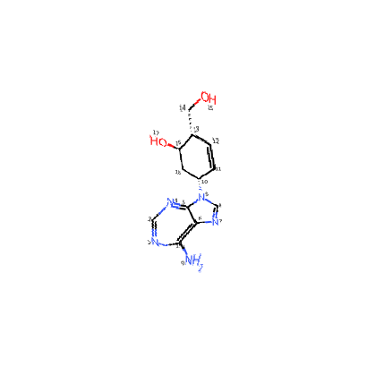 Nc1ncnc2c1ncn2[C@H]1C=C[C@@H](CO)[C@H](O)C1